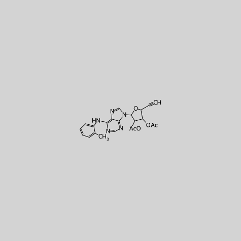 C#CC1OC(n2cnc3c(Nc4ccccc4C)ncnc32)C(OC(C)=O)C1OC(C)=O